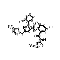 CSC[C@H](C)NC(=O)c1cc(I)cc(C)c1NC(=O)c1cc(Cn2nnc(C(F)(F)F)n2)nn1-c1ncccc1Cl